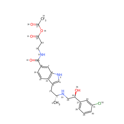 C[C@H](Cc1c[nH]c2cc(C(=O)NCCC(=O)OC(=O)C(F)(F)F)ccc12)NC[C@@H](O)c1cccc(Cl)c1